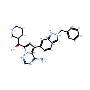 Nc1ncnn2c(C(=O)C3CCCNC3)cc(-c3ccc4cn(Cc5ccccc5)nc4c3)c12